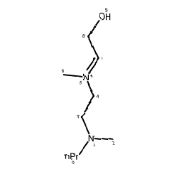 CCCN(C)CC/[N+](C)=C/CO